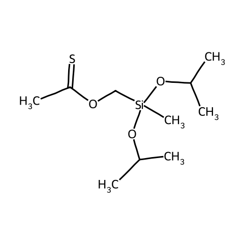 CC(=S)OC[Si](C)(OC(C)C)OC(C)C